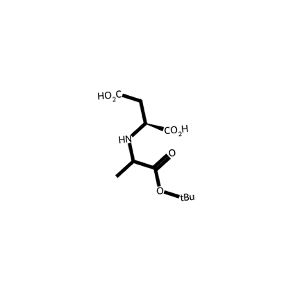 CC(N[C@@H](CC(=O)O)C(=O)O)C(=O)OC(C)(C)C